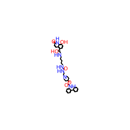 O=C(NCCCCCNC[C@H](O)c1ccc(O)c2[nH]c(=O)ccc12)NCCN1CCC(OC(=O)Nc2ccccc2-c2ccccc2)CC1